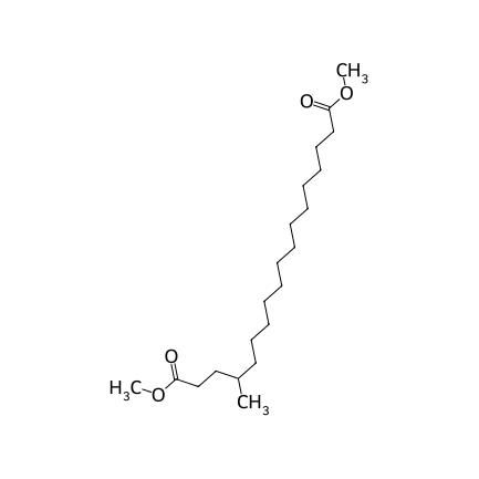 COC(=O)CCCCCCCCCCCCCC(C)CCC(=O)OC